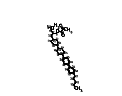 C=C(C)C(=O)OCC(CO)CC1CCC(C2CCC(c3ccc(-c4ccc(CCCCC)cc4)cc3)CC2)CC1